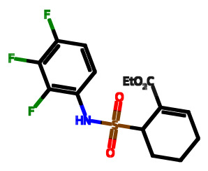 CCOC(=O)C1=CCCCC1S(=O)(=O)Nc1ccc(F)c(F)c1F